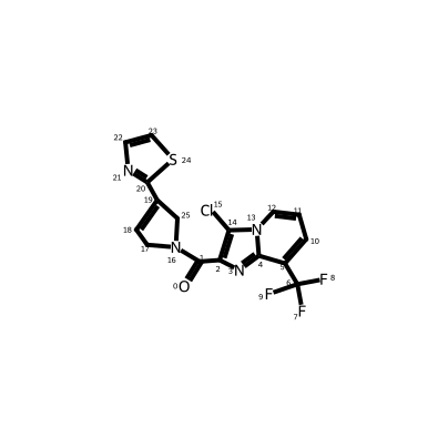 O=C(c1nc2c(C(F)(F)F)cccn2c1Cl)N1CC=C(c2nccs2)C1